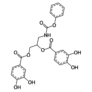 O=C(NCC(COC(=O)c1ccc(O)c(O)c1)OC(=O)c1ccc(O)c(O)c1)Oc1ccccc1